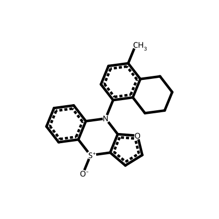 Cc1ccc(N2c3ccccc3[S+]([O-])c3ccoc32)c2c1CCCC2